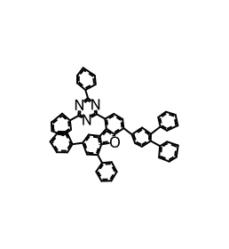 c1ccc(-c2cc(-c3ccccc3)c3oc4c(-c5ccc(-c6ccccc6)c(-c6ccccc6)c5)ccc(-c5nc(-c6ccccc6)nc(-c6ccccc6)n5)c4c3c2)cc1